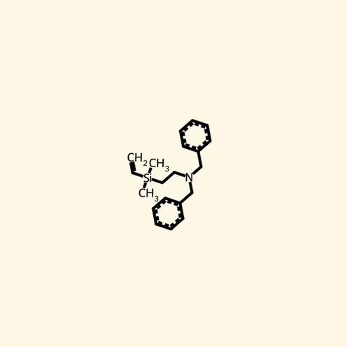 C=C[Si](C)(C)CCN(Cc1ccccc1)Cc1ccccc1